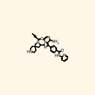 CC#CC(=O)N1CC2(CCNCC2)CC1c1nc(-c2ccc(C(=O)Nc3ccccn3)cc2)c2c(N)nccn12